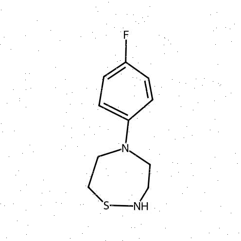 Fc1ccc(N2CCNSCC2)cc1